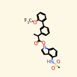 CC(C(=O)On1ccc2c(NS(C)(=O)=O)cccc21)c1cccc(-c2ccccc2OC(F)(F)F)c1